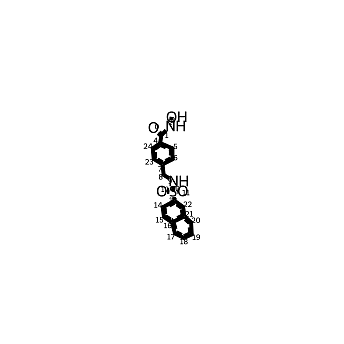 O=C(NO)c1ccc(CNS(=O)(=O)c2ccc3ccccc3c2)cc1